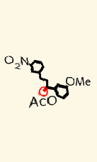 COc1ccc(OC(C)=O)c(C(=O)CCc2cccc([N+](=O)[O-])c2)c1